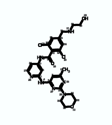 Cc1cc(Nc2cc(NC(=O)c3c(Cl)cc(CNCCO)cc3Cl)ccn2)nc(N2CCOCC2)n1